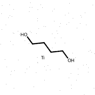 OCCCCO.[Ti]